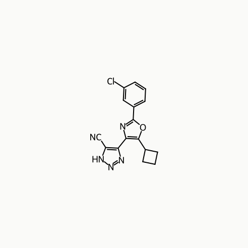 N#Cc1[nH]nnc1-c1nc(-c2cccc(Cl)c2)oc1C1CCC1